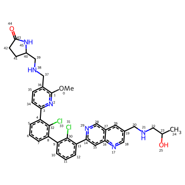 COc1nc(-c2cccc(-c3cccc(-c4cc5ncc(CNCC(C)O)cc5cn4)c3Cl)c2Cl)ccc1CNCC1CCC(=O)N1